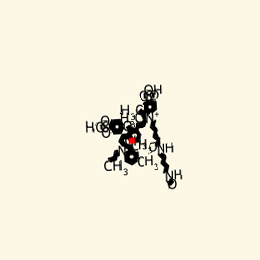 CCCCN1/C(=C/C=C2\CCCC(/C=C/C3=[N+](CCCCCC(=O)NCCCCCNC=O)c4ccc(S(=O)(=O)O)cc4C3(C)C)=C2Oc2ccc(S(=O)(=O)O)cc2)C(C)(C)c2cc(C)ccc21